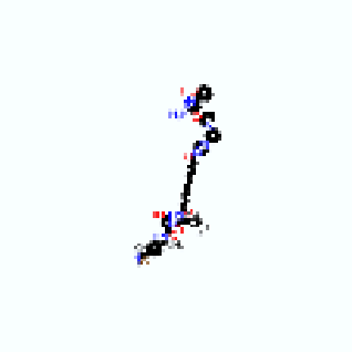 Cc1ncsc1-c1ccc(C(C)NC(=O)C2CC(O)CN2C(=O)C(NC(=O)CCCCCCCCCCC(=O)N2CCN(c3cccc(N4CCCC(Oc5cc(-c6ccccc6O)nnc5N)C4)c3)CC2)C(C)(C)C)cc1